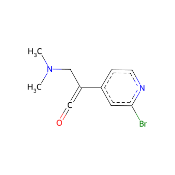 CN(C)CC(=C=O)c1ccnc(Br)c1